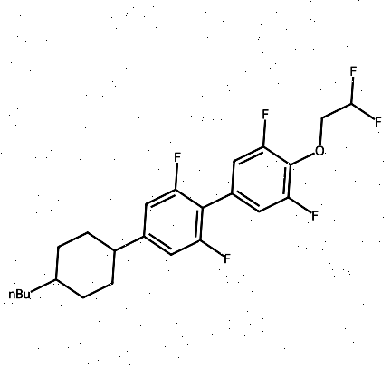 CCCCC1CCC(c2cc(F)c(-c3cc(F)c(OCC(F)F)c(F)c3)c(F)c2)CC1